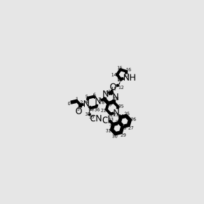 C=CC(=O)N1CCN(c2nc(OC[C@@H]3CCCN3)nc3c2CCN(c2cccc4cccc(Cl)c24)C3)C[C@@H]1CC#N